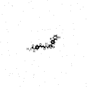 CC(=O)Nc1ccc(C(=O)CCC(=O)NC[C@H]2CN(c3ccc(C4CNCCS4)c(F)c3)C(=O)O2)cc1